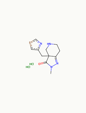 CN1N=C2CCNCC2(Cc2cscn2)C1=O.Cl.Cl